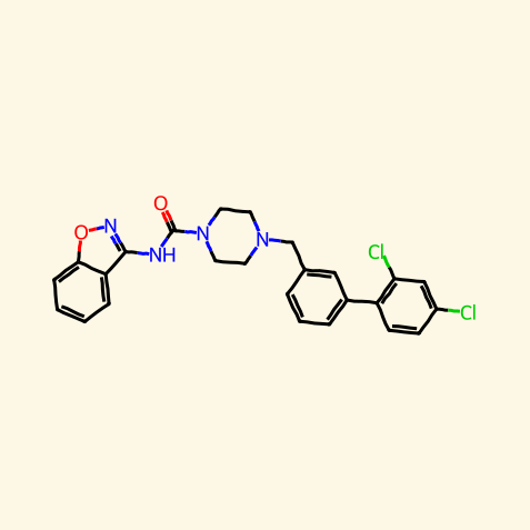 O=C(Nc1noc2ccccc12)N1CCN(Cc2cccc(-c3ccc(Cl)cc3Cl)c2)CC1